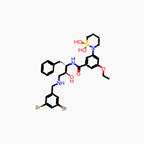 CCOc1cc(C(=O)N[C@@H](Cc2ccccc2)[C@@H](O)CNCc2cc(Br)cc(Br)c2)cc(N2CCCCS2(O)O)c1